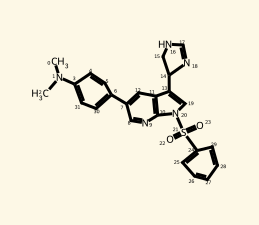 CN(C)c1ccc(-c2cnc3c(c2)c(C2CNC=N2)cn3S(=O)(=O)c2ccccc2)cc1